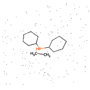 C1CCC(PC2CCCCC2)CC1.CC